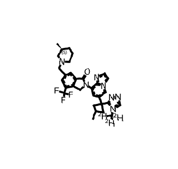 [2H]C([2H])([2H])n1cnnc1C1(c2cc(N3Cc4c(cc(CN5CCC[C@H](C)C5)cc4C(F)(F)F)C3=O)c3nccn3c2)CC(C)C1